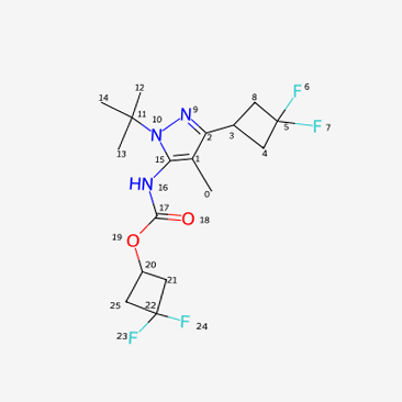 Cc1c(C2CC(F)(F)C2)nn(C(C)(C)C)c1NC(=O)OC1CC(F)(F)C1